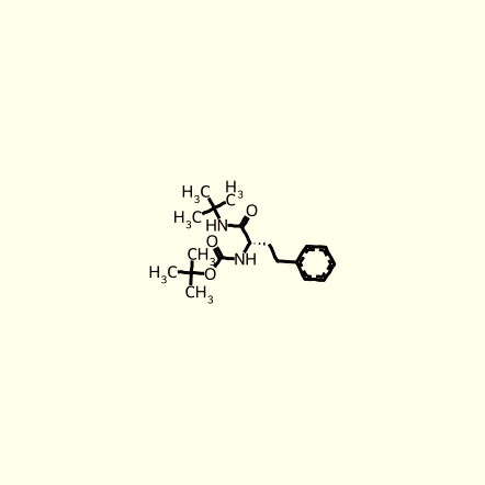 CC(C)(C)NC(=O)[C@H](CCc1ccccc1)NC(=O)OC(C)(C)C